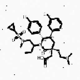 CCC(CN(C)S(=O)(=O)C1CC1)N1C(=O)[C@@](CCN(C)C)(CC(=O)O)C[C@H](c2cccc(Cl)c2)[C@H]1c1ccc(Cl)cc1